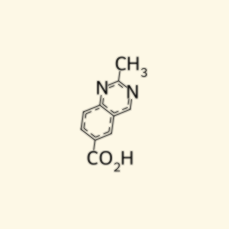 Cc1ncc2cc(C(=O)O)ccc2n1